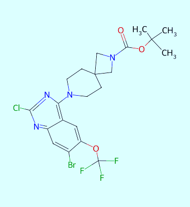 CC(C)(C)OC(=O)N1CC2(CCN(c3nc(Cl)nc4cc(Br)c(OC(F)(F)F)cc34)CC2)C1